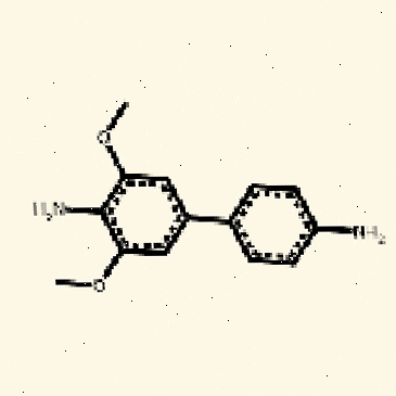 COc1cc(-c2ccc(N)cc2)cc(OC)c1N